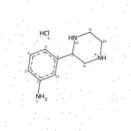 Cl.Nc1cccc(C2CNCCN2)c1